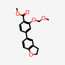 COCOc1cc(-c2ccc3c(c2)CCO3)ccc1C(=O)OC